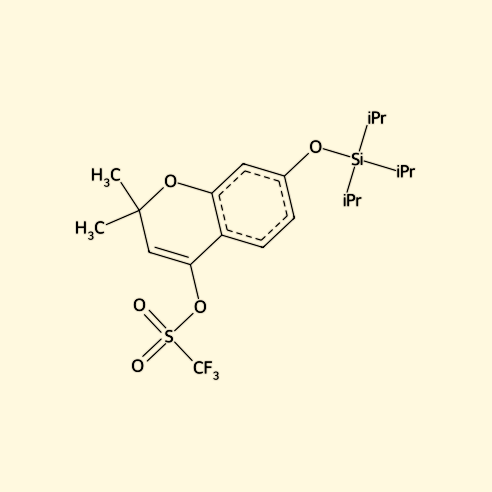 CC(C)[Si](Oc1ccc2c(c1)OC(C)(C)C=C2OS(=O)(=O)C(F)(F)F)(C(C)C)C(C)C